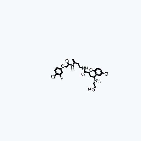 C=C(CCNC(=O)C1CC(NCCO)c2cc(Cl)ccc2O1)NC(=O)COc1ccc(Cl)c(F)c1